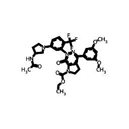 CCOC(=O)N1CCc2c(-c3cc(OC)cc(OC)c3)nn(-c3cc(N4CCC(NC(C)=O)C4)ccc3C(F)(F)F)c(=O)c21